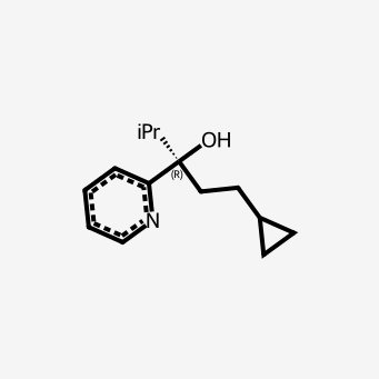 CC(C)[C@](O)(CCC1CC1)c1ccccn1